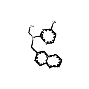 CC(C)(C)CN(Cc1ccc2ccccc2c1)c1nccc(C#N)n1